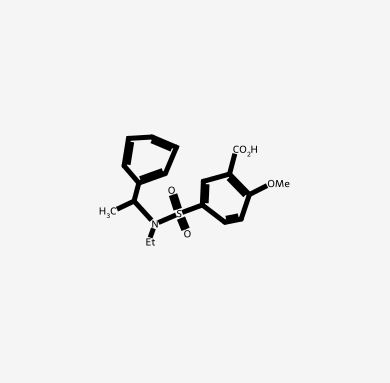 CCN(C(C)c1ccccc1)S(=O)(=O)c1ccc(OC)c(C(=O)O)c1